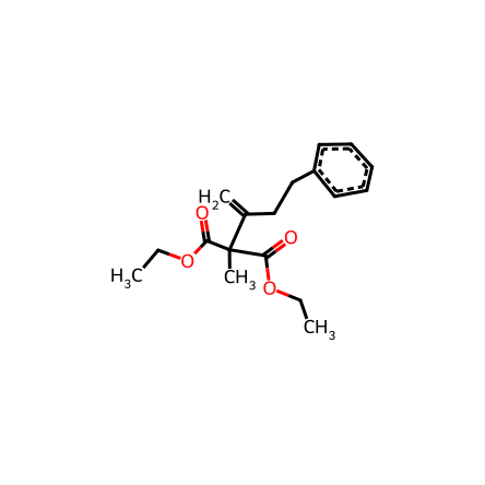 C=C(CCc1ccccc1)C(C)(C(=O)OCC)C(=O)OCC